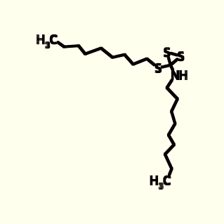 CCCCCCCCCNC1(SCCCCCCCCC)SS1